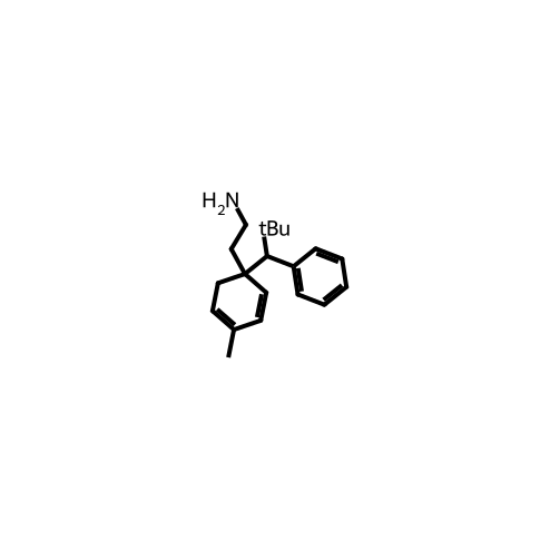 CC1=CCC(CCN)(C(c2ccccc2)C(C)(C)C)C=C1